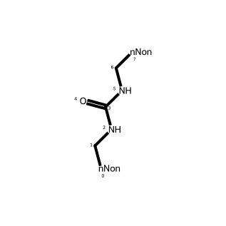 CCCCCCCCCCNC(=O)NCCCCCCCCCC